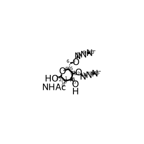 CC(=O)N[C@@H]1C(O)O[C@H](CON=[N+]=[N-])[C@@H](ON=[N+]=[N-])[C@@H]1O